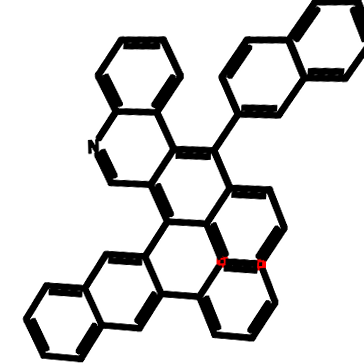 c1ccc(-c2cc3ccccc3cc2-c2c3ccccc3c(-c3ccc4ccccc4c3)c3c2cnc2ccccc23)cc1